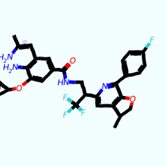 C/C(N)=C/c1cc(C(=O)NCC(c2cc3c(c(-c4ccc(F)cc4)n2)OCC3C)C(F)(F)F)cc(OC2CC2)c1N